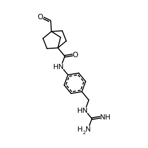 N=C(N)NCc1ccc(NC(=O)C23CCC(C=O)(CC2)C3)cc1